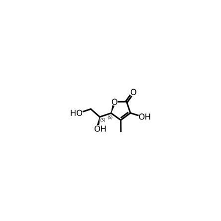 CC1=C(O)C(=O)O[C@@H]1[C@@H](O)CO